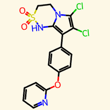 O=S1(=O)CCn2c(Cl)c(Cl)c(-c3ccc(Oc4ccccn4)cc3)c2N1